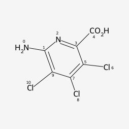 Nc1nc(C(=O)O)c(Cl)c(Cl)c1Cl